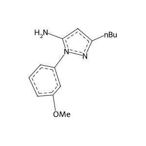 CCCCc1cc(N)n(-c2cccc(OC)c2)n1